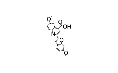 COc1ccc2cc(-c3cc(C(=O)O)c4cc(OC)ccc4n3)oc2c1